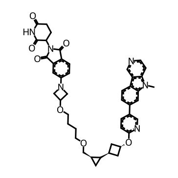 Cn1c2ccncc2c2ccc(-c3ccc(O[C@H]4C[C@H](C5C[C@H]5COCCCCOC5CN(c6ccc7c(c6)C(=O)N(C6CCC(=O)NC6=O)C7=O)C5)C4)nc3)cc21